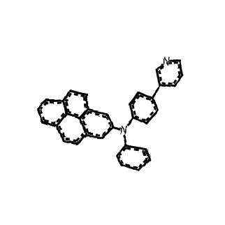 c1ccc(N(c2ccc(-c3cccnc3)cc2)c2cc3ccc4cccc5ccc(c2)c3c45)cc1